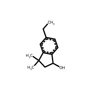 CCc1ccc2c(c1)C(C)(C)CC2O